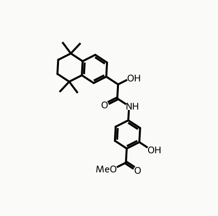 COC(=O)c1ccc(NC(=O)C(O)c2ccc3c(c2)C(C)(C)CCC3(C)C)cc1O